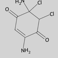 NC1=CC(=O)C(N)(Cl)C(Cl)C1=O